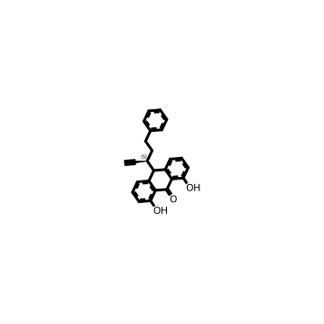 C#C[C@@H](CCc1ccccc1)C1c2cccc(O)c2C(=O)c2c(O)cccc21